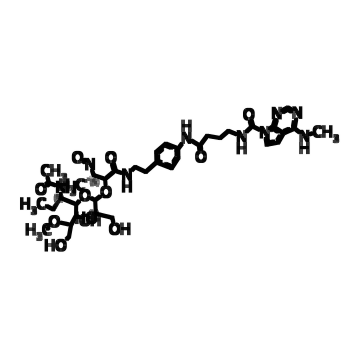 CC[C@@H](NC(C)=O)C(OC(OC(C(=O)NCCc1ccc(NC(=O)CCCNC(=O)n2ccc3c(NC)ncnc32)cc1)[C@H](C)N=O)[C@@H](O)CO)C(O)C(CO)OC